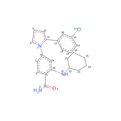 NC(=O)c1ccc(-n2cccc2-c2cccc(Cl)c2)cc1NC1CCCCC1